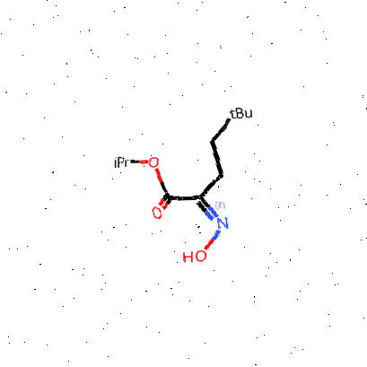 CC(C)OC(=O)/C(CCC(C)(C)C)=N\O